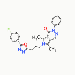 Cc1c2cnn(-c3ccccc3)c(=O)c2c(C)n1CCCc1nnc(-c2ccc(F)cc2)o1